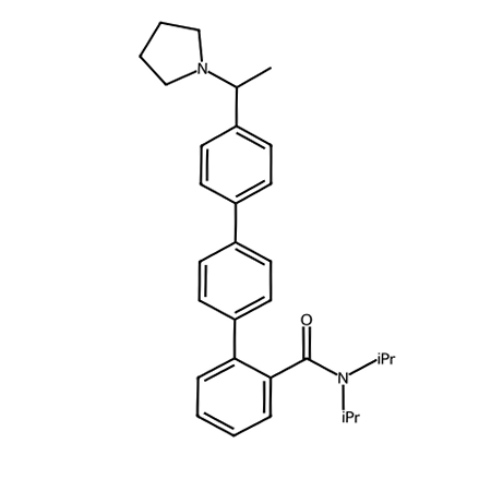 CC(c1ccc(-c2ccc(-c3ccccc3C(=O)N(C(C)C)C(C)C)cc2)cc1)N1CCCC1